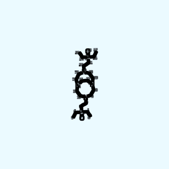 CCP(=O)(CC)CCN1CCN2CCN(CC1)CCN(CCP(=O)(CC)CC)CC2